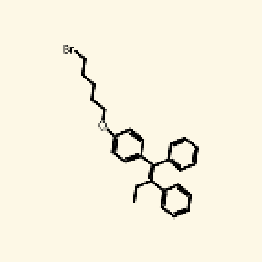 CC/C(=C(/c1ccccc1)c1ccc(OCCCCCBr)cc1)c1ccccc1